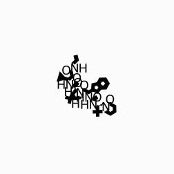 C=CCNC(=O)C(=O)C(NC(=O)[C@@H]1[C@@H]2[C@H](CN1C(=O)[C@@H](NC(=O)N[C@H](CN1CCCCC1=O)C(C)(C)C)C1Cc3ccccc3C1)C2(C)C)C1CC1